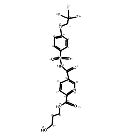 O=C(NS(=O)(=O)c1ccc(OCC(F)(F)F)cc1)c1ccc(C(=O)NCCCO)nc1